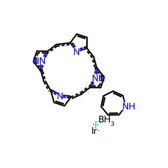 B.C1=CC=CNC=C1.C1=Cc2cc3ccc(cc4nc(cc5ccc(cc1n2)[nH]5)C=C4)[nH]3.[F].[Ir]